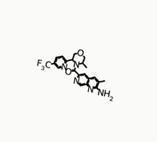 Cc1cc2cc(C(=O)N3C(C)COCC3c3ccc(C(F)(F)F)cn3)ncc2nc1N